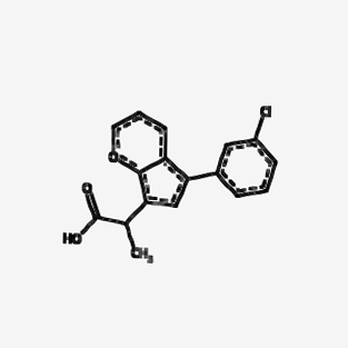 CC(C(=O)O)c1cc(-c2cccc(Cl)c2)c2cccoc1-2